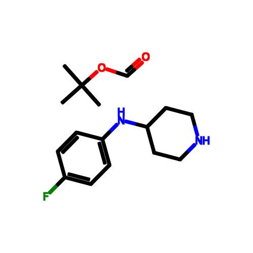 CC(C)(C)OC=O.Fc1ccc(NC2CCNCC2)cc1